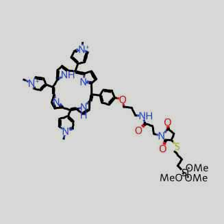 CO[Si](CCCSC1CC(=O)N(CCC(=O)NCCCOc2ccc(-c3c4nc(c(-c5cc[n+](C)cc5)c5ccc([nH]5)c(-c5cc[n+](C)cc5)c5nc(c(-c6cc[n+](C)cc6)c6ccc3[nH]6)C=C5)C=C4)cc2)C1=O)(OC)OC